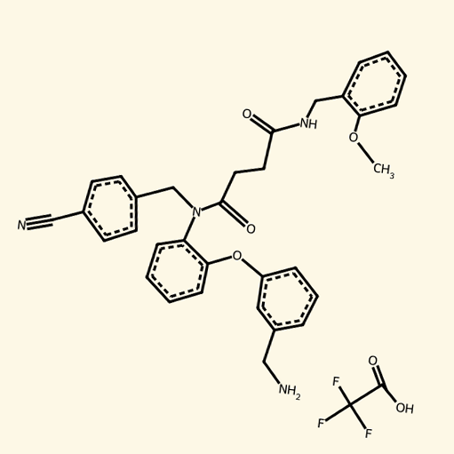 COc1ccccc1CNC(=O)CCC(=O)N(Cc1ccc(C#N)cc1)c1ccccc1Oc1cccc(CN)c1.O=C(O)C(F)(F)F